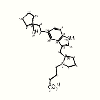 O=C(O)CCCN1CCC[C@@H]1Cc1c[nH]c2ccc(CCC3(O)CCCC3)cc12